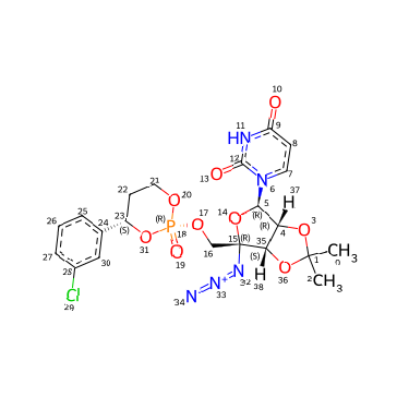 CC1(C)O[C@H]2[C@H](n3ccc(=O)[nH]c3=O)O[C@@](CO[P@@]3(=O)OCC[C@@H](c4cccc(Cl)c4)O3)(N=[N+]=[N-])[C@H]2O1